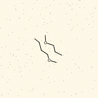 [CH2]CCOC.[CH2]OCCCC